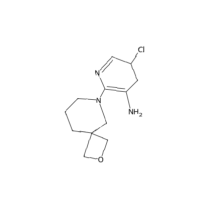 NC1=C(N2CCCC3(COC3)C2)N=CC(Cl)C1